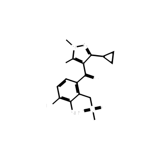 Cn1nc(C2CC2)c(C(=O)c2ccc(Br)c(N)c2CS(C)(=O)=O)c1O